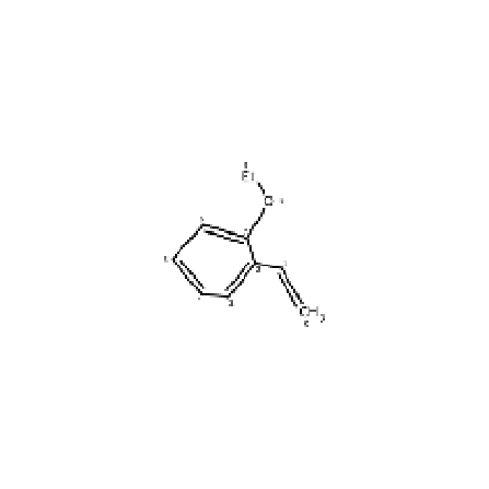 C=Cc1cc[c]cc1OCC